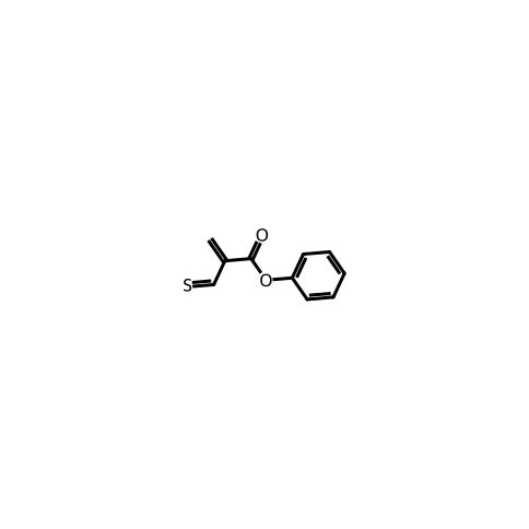 C=C(C=S)C(=O)Oc1ccccc1